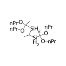 CCCOC(C)(OCCC)[SiH2]C(C)[SiH2]C(C)(OCCC)OCCC